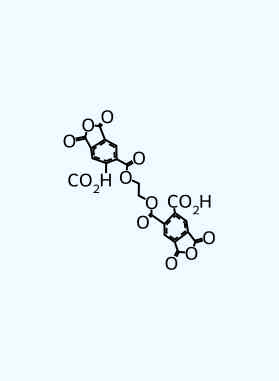 O=C(O)c1cc2c(cc1C(=O)OCCOC(=O)c1cc3c(cc1C(=O)O)C(=O)OC3=O)C(=O)OC2=O